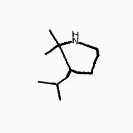 CC(C)C1CCNC1(C)C